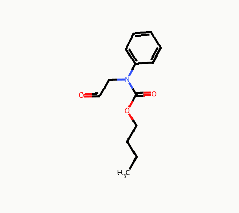 CCCCOC(=O)N(C[C]=O)c1ccccc1